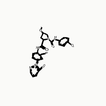 COC1CC(C(=O)Nc2ccc(-n3ncccc3=O)cc2F)N(C(=O)Nc2ccc(Cl)cc2)C1